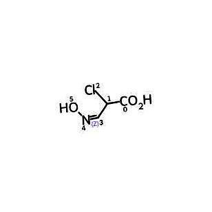 O=C(O)C(Cl)/C=N\O